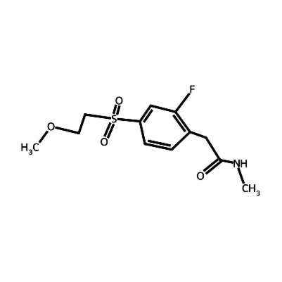 CNC(=O)Cc1ccc(S(=O)(=O)CCOC)cc1F